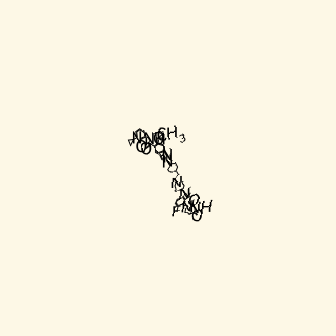 COc1cc2nn(C3CCC(CCN4CCC(n5ccc6c(N7CCC(=O)NC7=O)c(F)ccc65)CC4)CC3)cc2cc1C(=O)Nc1cccn(C2CC2)c1=O